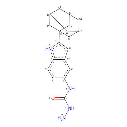 NNC(=O)Nc1ccc2[nH]c(C34CC5CC(CC(C5)C3)C4)cc2c1